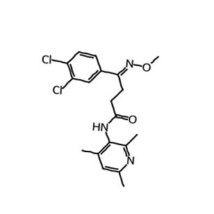 CO/N=C(\CCC(=O)Nc1c(C)cc(C)nc1C)c1ccc(Cl)c(Cl)c1